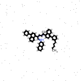 CCCCCC1=CC(C2=c3ccccc3=C(/C(C)=C/C=C(\CNC3C=CC4CCC=CC4C3)c3ccc(C4=CC=CCC4)c4ccccc34)CC2)CC=C1